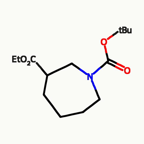 CCOC(=O)C1CCCCN(C(=O)OC(C)(C)C)C1